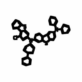 Clc1cc(N(c2ccc(-c3ccccc3)cc2)c2ccc3c(c2)sc2ccc(N(c4ccccc4)c4ccccc4)cc23)cc2sc3ccccc3c12